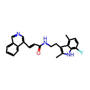 Cc1[nH]c2c(F)ccc(C)c2c1CCNC(=O)/C=C/c1cncc2ccccc12